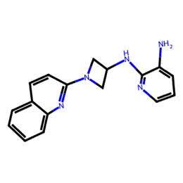 Nc1cccnc1NC1CN(c2ccc3ccccc3n2)C1